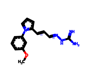 COc1cccc(-n2cccc2/C=C/C=N/NC(=N)N)c1